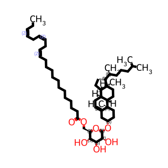 CC/C=C\C/C=C\C/C=C\CCCCCCCCCCCC(=O)OC[C@H]1O[C@@H](O[C@H]2CC[C@@]3(C)C(=CC[C@H]4[C@@H]5CC[C@H]([C@H](C)CCCC(C)C)[C@@]5(C)CC[C@@H]43)C2)[C@H](O)[C@@H](O)[C@@H]1O